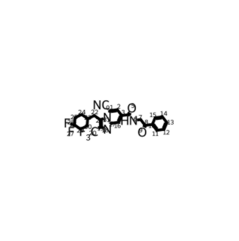 N#Cc1cc(C(=O)NCC(=O)c2ccccc2)cc2nc(C(F)(F)F)c(CC3CCC(F)(F)CC3)n12